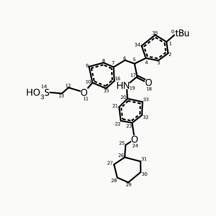 CC(C)(C)c1ccc(C(Cc2ccc(OCCS(=O)(=O)O)cc2)C(=O)Nc2ccc(OCC3CCCCC3)cc2)cc1